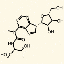 C[C@@H](O)[C@H](NC(=O)N(C)c1ncnc2c1ncn2[C@@H]1O[C@H](CO)[C@@H](O)[C@H]1O)C(=O)O